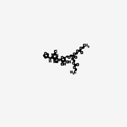 CCOC(=O)OCOP(=O)(COC[C@H]1O[C@@H](n2cnc3c(N[C@H]4CCOC4)nc(Cl)nc32)[C@H](O)[C@@H]1O)OCOC(=O)OCC